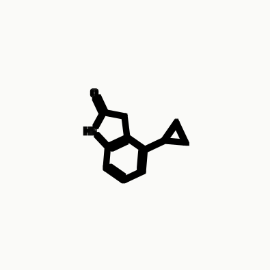 O=C1Cc2c(cccc2C2CC2)N1